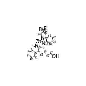 O=c1n(Cc2ncc3ccccc3c2CCCCO)c2ccccc2n1CC(F)(F)F